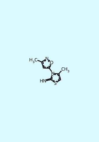 Cc1cc(-n2c(C)csc2=N)on1